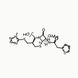 CO[C@@]1(NC(=O)Cc2cccs2)C(=O)N2C(C(=O)O)=C(CSc3nnnn3C)CS[C@@H]21